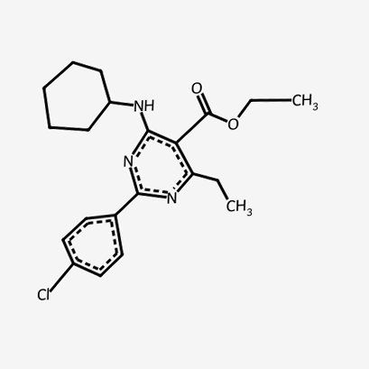 CCOC(=O)c1c(CC)nc(-c2ccc(Cl)cc2)nc1NC1CCCCC1